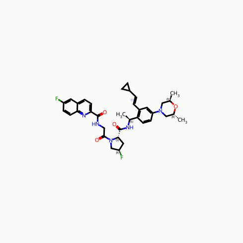 C[C@@H]1CN(c2ccc([C@H](C)NC(=O)[C@@H]3C[C@@H](F)CN3C(=O)CNC(=O)c3ccc4cc(F)ccc4n3)c(/C=C/C3CC3)c2)C[C@@H](C)O1